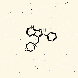 c1ccc(-c2[nH]c3ncccc3c2CN2CCOCC2)cc1